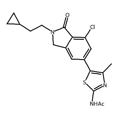 CC(=O)Nc1nc(C)c(-c2cc(Cl)c3c(c2)CN(CCC2CC2)C3=O)s1